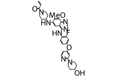 C=CC(=O)N1CCC(Nc2cc3c(Nc4ccc(Oc5ccnc(N6CCC(O)CC6)c5)cc4F)ncnc3cc2OC)CC1